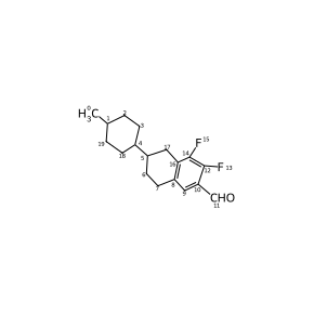 CC1CCC(C2CCc3cc(C=O)c(F)c(F)c3C2)CC1